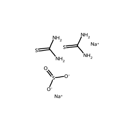 NC(N)=S.NC(N)=S.O=S([O-])[O-].[Na+].[Na+]